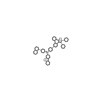 c1ccc(-c2oc3c4ccccc4c4cc(-c5ccc(N(c6ccc(-c7cccc8ccccc78)cc6)c6ccc7c(c6)oc6ccccc67)cc5)ccc4c3c2-c2ccccc2)cc1